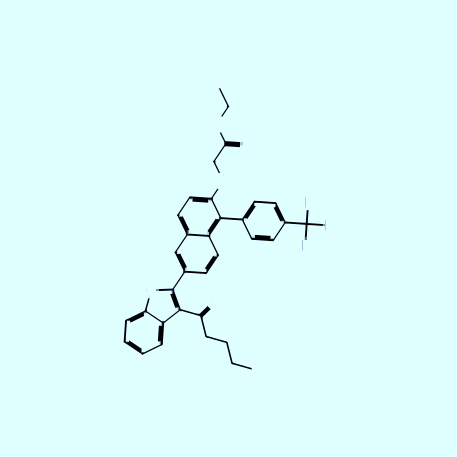 CCCCC(=O)c1c(-c2ccc3c(-c4ccc(C(F)(F)F)cc4)c(OCC(=O)OCC)ccc3c2)oc2ccccc12